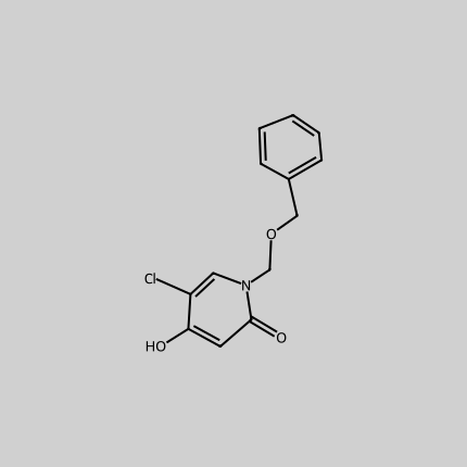 O=c1cc(O)c(Cl)cn1COCc1ccccc1